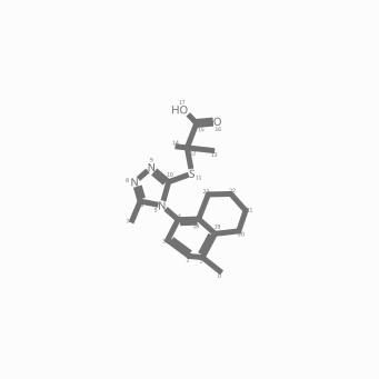 Cc1ccc(-n2c(C)nnc2SC(C)(C)C(=O)O)c2c1CCCC2